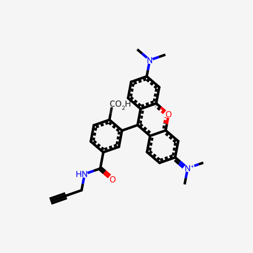 C#CCNC(=O)c1ccc(C(=O)O)c(-c2c3ccc(=[N+](C)C)cc-3oc3cc(N(C)C)ccc23)c1